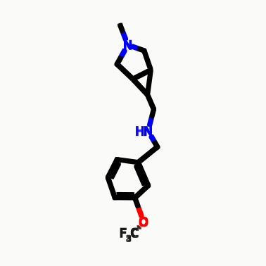 CN1CC2C(CNCc3cccc(OC(F)(F)F)c3)C2C1